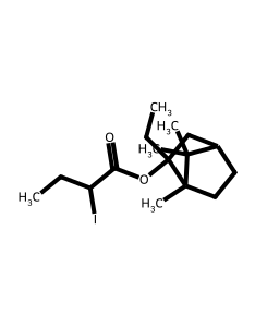 CCC(I)C(=O)OC1(CC)CC2CCC1(C)C2(C)C